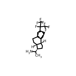 CC(N)[C@@H]1CC[C@H]2c3ccc(C(F)(C(F)(F)F)C(F)(F)F)cc3CC[C@H]21